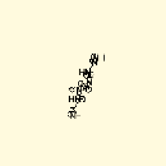 O=C(CN1CCC(S(=O)(=O)NCCCc2ccc3c(n2)NCCC3)CC1)OOC(=O)C(Cc1ccccc1)N1CCC(C(=O)NCCCc2ccc3c(n2)NCCC3)CC1